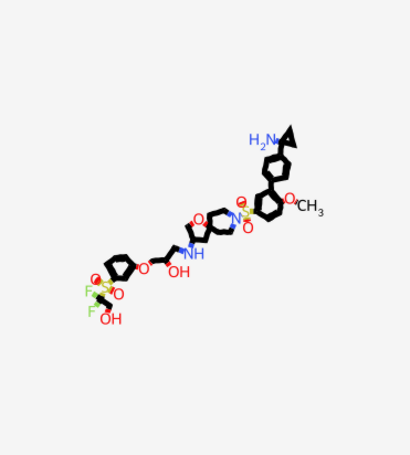 COc1ccc(S(=O)(=O)N2CCC3(CC2)CC(NCC(O)COc2cccc(S(=O)(=O)C(F)(F)CO)c2)CO3)cc1-c1ccc(C2(N)CC2)cc1